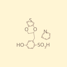 O=S(=O)(O)c1ccc(O)cc1CC1COc2cscc2O1.c1ccncc1